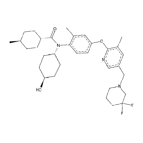 Cc1cc(Oc2ncc(CN3CCCC(F)(F)C3)cc2C)ccc1N(C(=O)[C@H]1CC[C@H](C)CC1)[C@H]1CC[C@H](O)CC1